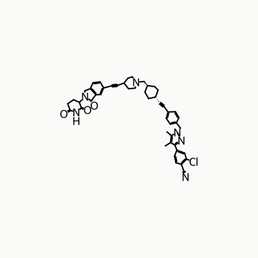 Cc1c(-c2ccc(C#N)c(Cl)c2)nn(Cc2ccc(C#C[C@H]3CC[C@H](CN4CCC(C#Cc5ccc6c(c5)C(=O)N(C5CCC(=O)NC5=O)C6)CC4)CC3)cc2)c1C